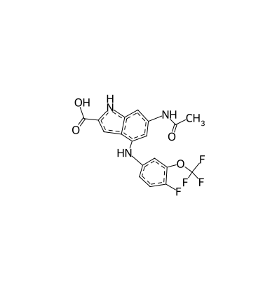 CC(=O)Nc1cc(Nc2ccc(F)c(OC(F)(F)F)c2)c2cc(C(=O)O)[nH]c2c1